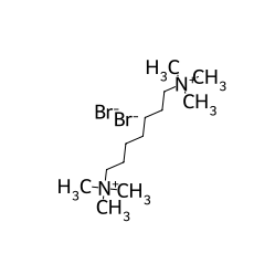 C[N+](C)(C)CCCCCCC[N+](C)(C)C.[Br-].[Br-]